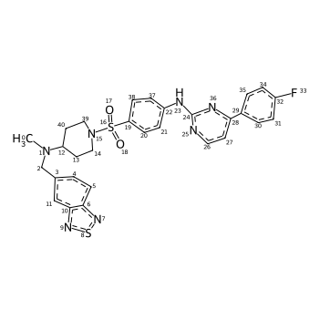 CN(Cc1ccc2nsnc2c1)C1CCN(S(=O)(=O)c2ccc(Nc3nccc(-c4ccc(F)cc4)n3)cc2)CC1